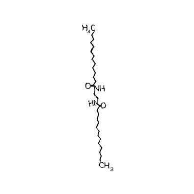 CCCCCCCCCCCCCCC(=O)NCCNC(=O)CCCCCCCCCCCCCC